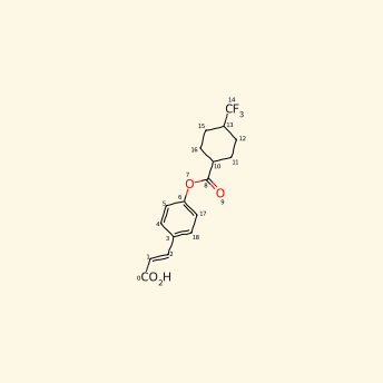 O=C(O)C=Cc1ccc(OC(=O)C2CCC(C(F)(F)F)CC2)cc1